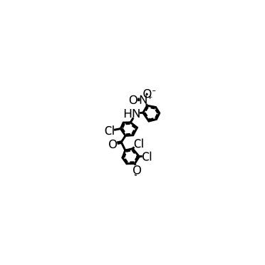 COc1ccc(C(=O)c2ccc(Nc3ccccc3[N+](=O)[O-])cc2Cl)c(Cl)c1Cl